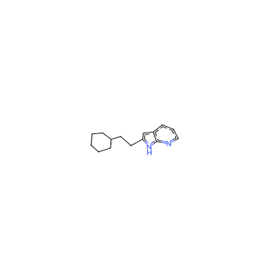 c1cnc2[nH]c(CCC3CCCCC3)cc2c1